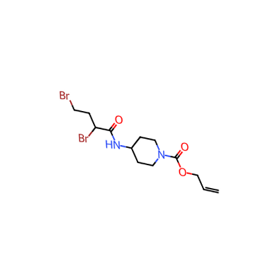 C=CCOC(=O)N1CCC(NC(=O)C(Br)CCBr)CC1